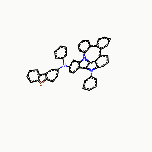 c1ccc(N(c2ccc3sc4ccccc4c3c2)c2ccc3c4c5c6c(cccc6n4-c4ccccc4)c4ccccc4c4ccccc4n5c3c2)cc1